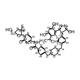 CC(C)c1cc(-c2nnc(O)n2-c2ccc(CN3CCN(Cc4ccc(C(=O)Nc5ccn([C@@H]6O[C@H](CO)CC6(F)F)c(=O)n5)cc4)CC3)cc2)c(O)cc1O